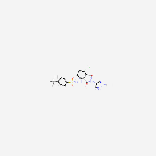 Cn1cc(N2C(=O)c3c(Cl)ccc(NS(=O)(=O)c4ccc(C(C)(C)C)cc4)c3C2=O)cn1